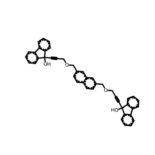 OC1(C#CCOCc2ccc3ccc(COCC#CC4(O)c5ccccc5-c5ccccc54)cc3c2)c2ccccc2-c2ccccc21